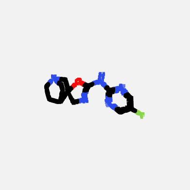 Fc1cnc(NC2=NC[C@@]3(CN4CCC3CC4)O2)nc1